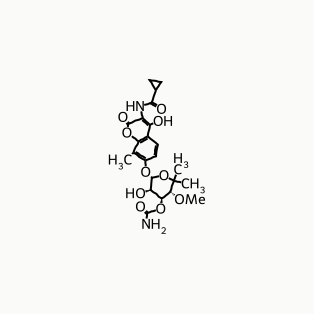 CO[C@@H]1[C@@H](OC(N)=O)[C@@H](O)[C@H](Oc2ccc3c(O)c(NC(=O)C4CC4)c(=O)oc3c2C)OC1(C)C